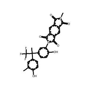 Cc1cc(C(C)(c2ccc(O)c(-n3c(=O)c4cc5c(=O)n(C)c(=O)c5cc4c3=O)c2)C(F)(F)F)ccc1O